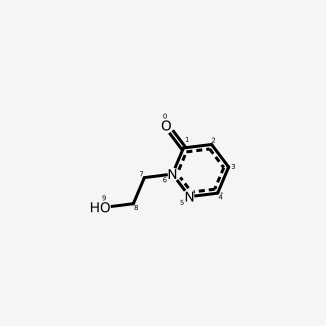 O=c1cc[c]nn1CCO